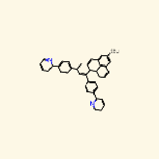 CC(/C=C(/c1ccc(C2=NCCC=C2)cc1)C1C=Cc2cc(C(C)(C)C)cc3c2C1CC=C3)c1ccc(C2CC=CC=N2)cc1